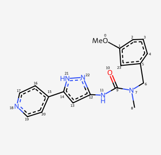 COc1cccc(CN(C)C(=O)Nc2cc(-c3ccncc3)[nH]n2)c1